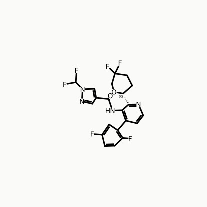 O=C(Nc1c(-c2cc(F)ccc2F)ccnc1[C@H]1CCC(F)(F)CO1)c1cnn(C(F)F)c1